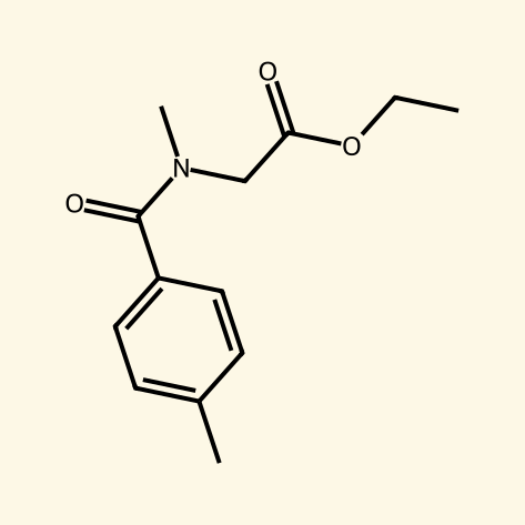 CCOC(=O)CN(C)C(=O)c1ccc(C)cc1